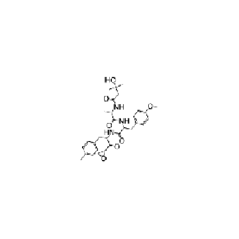 COc1ccc(CC(NC(=O)C(C)NC(=O)CC(C)(C)O)C(=O)NC(Cc2ccc(C)cc2)C(=O)C2CO2)cc1